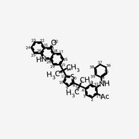 CC(=O)c1ccc(C(C)(C)c2ccc(C(C)(C)c3ccc4c(=O)c5ccccc5[nH]c4c3)s2)cc1NC1=CCCC=C1